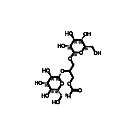 [2H]C(=O)OCC(CO[C@@H]1O[C@H](CO)[C@@H](O)[C@H](O)[C@H]1O)O[C@@H]1O[C@H](CO)[C@@H](O)[C@H](O)[C@H]1O